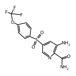 NC(=O)c1ncc(S(=O)(=O)c2ccc(OC(F)(F)F)cc2)cc1N